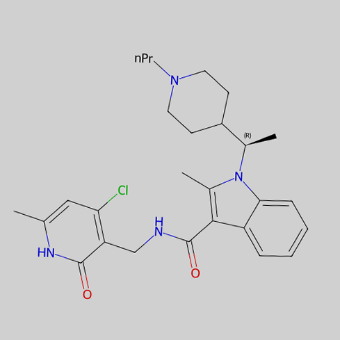 CCCN1CCC([C@@H](C)n2c(C)c(C(=O)NCc3c(Cl)cc(C)[nH]c3=O)c3ccccc32)CC1